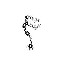 O=C(O)Cc1cn(CC2(CC(=O)O)CC2)c2cccc(C=Cc3ccc(OCCCCc4cc(F)c(F)c(F)c4)cc3)c12